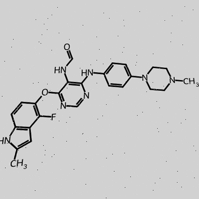 Cc1cc2c(F)c(Oc3ncnc(Nc4ccc(N5CCN(C)CC5)cc4)c3NC=O)ccc2[nH]1